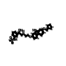 CS(=O)(=O)Nc1cccc([C@@H](O)CNCCOc2ccc3c(c2)[nH]c2cc(OCC4CCCC4)ccc23)c1